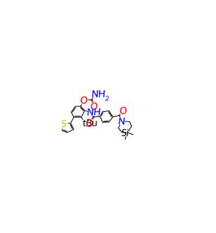 CC(C)(C)c1c(-c2cccs2)ccc(OC(N)=O)c1NC(=O)c1ccc(C(=O)N2CC[Si](C)(C)CC2)cc1